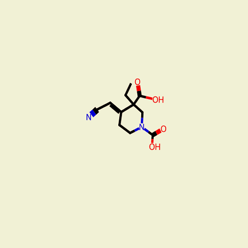 CCC1(C(=O)O)CN(C(=O)O)CC/C1=C\C#N